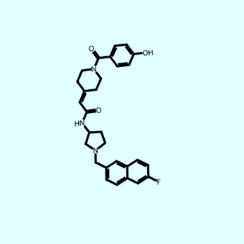 O=C(C=C1CCN(C(=O)c2ccc(O)cc2)CC1)NC1CCN(Cc2ccc3cc(F)ccc3c2)C1